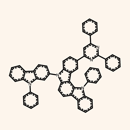 c1ccc(-c2cc(-c3ccc4c(c3)c3c(ccc5c6ccccc6n(-c6ccccc6)c53)n4-c3ccc4c5ccccc5n(-c5ccccc5)c4c3)nc(-c3ccccc3)n2)cc1